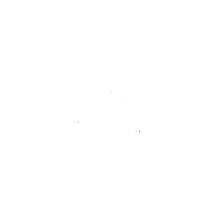 COC(=O)c1ccc(Br)cc1C1OCCO1